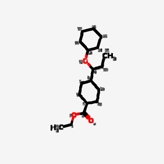 CCOC(=O)C1CCC(C(CC)OC2CCCCC2)CC1